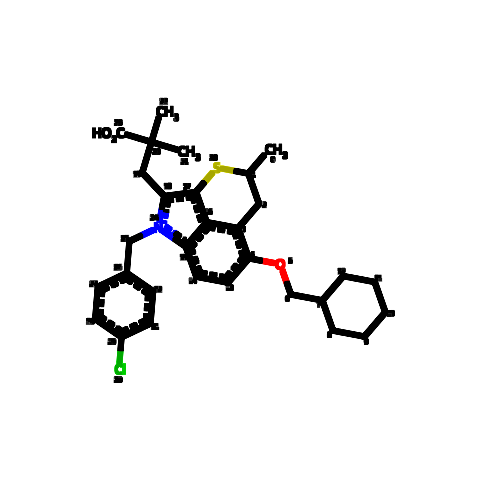 CC1Cc2c(OCC3CCCCC3)ccc3c2c(c(CC(C)(C)C(=O)O)n3Cc2ccc(Cl)cc2)S1